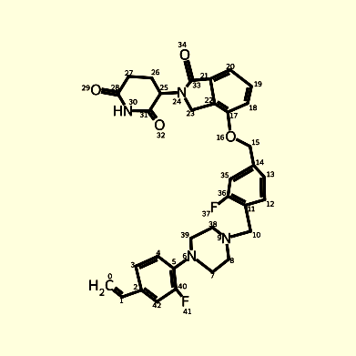 C=Cc1ccc(N2CCN(Cc3ccc(COc4cccc5c4CN(C4CCC(=O)NC4=O)C5=O)cc3F)CC2)c(F)c1